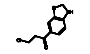 O=C(CCCl)c1ccc2c(c1)OCN2